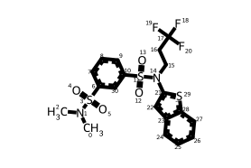 CN(C)S(=O)(=O)c1cccc(S(=O)(=O)N(CCC(F)(F)F)c2cc3ccccc3s2)c1